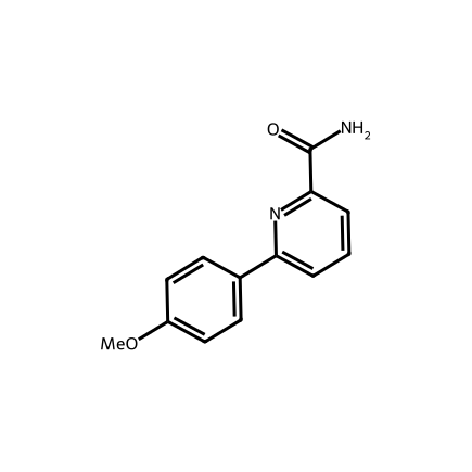 COc1ccc(-c2cccc(C(N)=O)n2)cc1